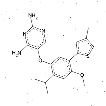 COc1cc(C(C)C)c(Oc2cnc(N)nc2N)cc1-c1cc(C)cs1